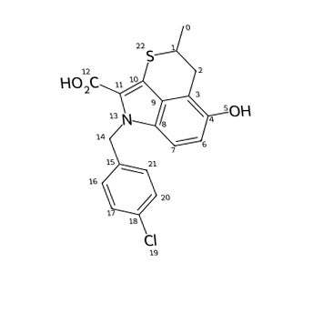 CC1Cc2c(O)ccc3c2c(c(C(=O)O)n3Cc2ccc(Cl)cc2)S1